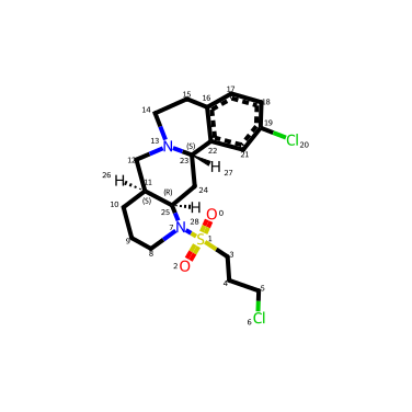 O=S(=O)(CCCCl)N1CCC[C@H]2CN3CCc4ccc(Cl)cc4[C@@H]3C[C@H]21